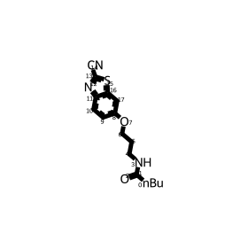 CCCCC(=O)NCCCOc1ccc2nc(C#N)sc2c1